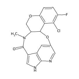 CN1C(=O)c2c[nH]c3ncc(cc23)OC2c3c(ccc(F)c3Cl)OCC21